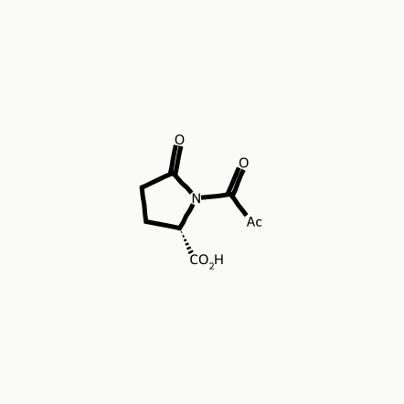 CC(=O)C(=O)N1C(=O)CC[C@H]1C(=O)O